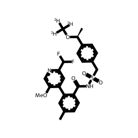 [2H]C([2H])([2H])O[C@@H](C)c1ccc(CS(=O)(=O)NC(=O)c2ccc(C)cc2-c2cc(C(F)F)ncc2OC)cc1